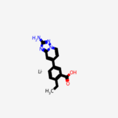 CCc1ccc(-c2ccn3nc(N)nc3c2)cc1C(=O)O.[Li]